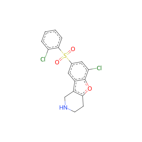 O=S(=O)(c1cc(Cl)c2oc3c(c2c1)CNCC3)c1ccccc1Cl